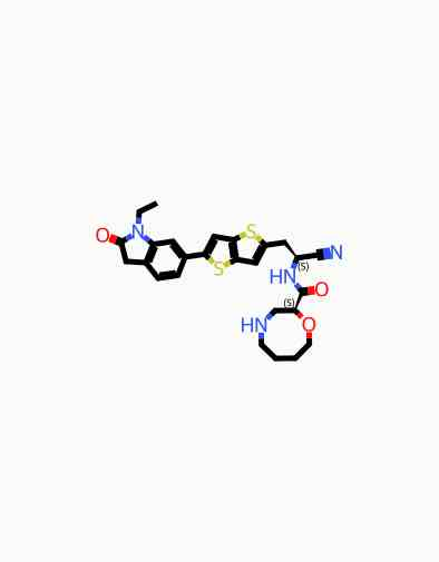 CCN1C(=O)Cc2ccc(-c3cc4sc(C[C@@H](C#N)NC(=O)[C@@H]5CNCCCCO5)cc4s3)cc21